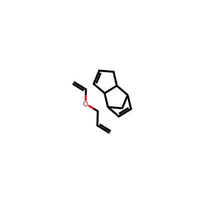 C1=CC2C3C=CC(C3)C2C1.C=CCOC=C